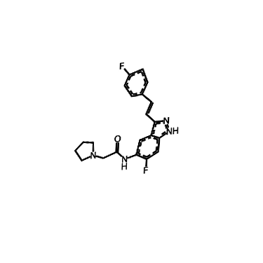 O=C(CN1CCCC1)Nc1cc2c(C=Cc3ccc(F)cc3)n[nH]c2cc1F